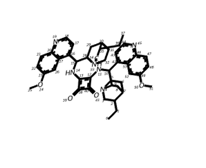 CCC1CN2CCC1CC2C(Nc1c(NC(c2ccnc3ccc(OC)cc23)C2CC3CCN2CC3CC)c(=O)c1=O)c1ccnc2ccc(OC)cc12